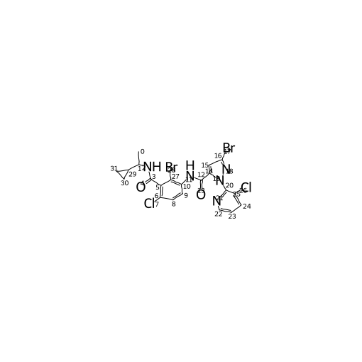 CC(NC(=O)c1c(Cl)ccc(NC(=O)c2cc(Br)nn2-c2ncccc2Cl)c1Br)C1CC1